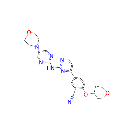 N#Cc1cc(-c2ccnc(Nc3ncc(N4CCOCC4)cn3)n2)ccc1OC1CCOCC1